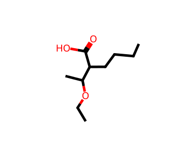 CCCCC(C(=O)O)C(C)OCC